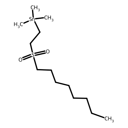 CCCCCCCCS(=O)(=O)C[CH2][Sn]([CH3])([CH3])[CH3]